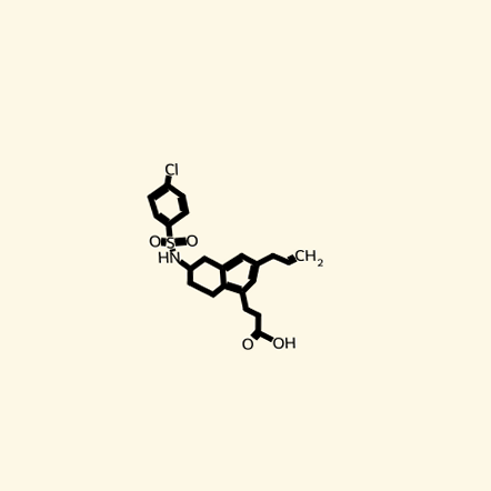 C=CCc1cc(CCC(=O)O)c2c(c1)CC(NS(=O)(=O)c1ccc(Cl)cc1)CC2